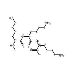 CN[C@@H](CCCCN)C(=O)N[C@@H](CCCCN)C(=O)N[C@@H](CCCCN)C(C)=O